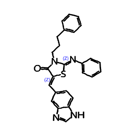 O=C1/C(=C/c2ccc3[nH]cnc3c2)S/C(=N\c2ccccc2)N1CCCc1ccccc1